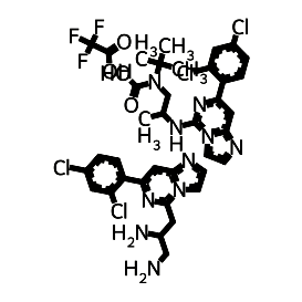 CC(CN(C(=O)O)C(C)(C)C)Nc1nc(-c2ccc(Cl)cc2Cl)cc2nccn12.NCC(N)Cc1nc(-c2ccc(Cl)cc2Cl)cc2nccn12.O=C(O)C(F)(F)F